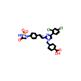 O=C1CN(c2ccc(/C=C/c3nc(-c4ccc(Cl)cc4Cl)cn3Cc3ccc(C(=O)O)cc3)cc2)S(=O)(=O)N1